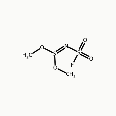 COS(=NS(=O)(=O)F)OC